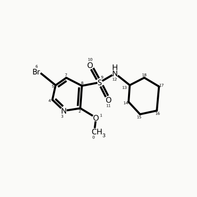 COc1ncc(Br)cc1S(=O)(=O)NC1CCCCC1